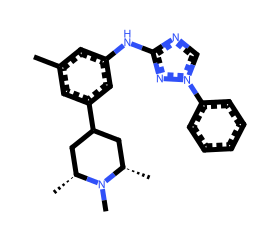 Cc1cc(Nc2ncn(-c3ccccc3)n2)cc(C2C[C@@H](C)N(C)[C@@H](C)C2)c1